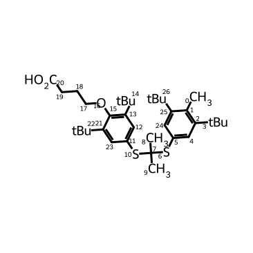 Cc1c(C(C)(C)C)cc(SC(C)(C)Sc2cc(C(C)(C)C)c(OCCCC(=O)O)c(C(C)(C)C)c2)cc1C(C)(C)C